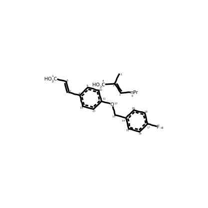 CCCC=C(C)C(=O)O.O=C(O)C=Cc1ccc(OCc2ccc(F)cc2)cc1